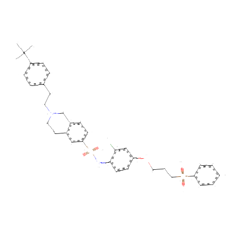 CC(C)(C)c1ccc(CCN2CCc3cc(S(=O)(=O)Nc4ccc(OCCCS(=O)(=O)c5ccccc5)cc4F)ccc3C2)cc1